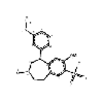 COc1cc2c(cc1S(=O)(=O)Cl)CCN(C(C)=O)CC2c1cccc(SC(F)(F)F)c1